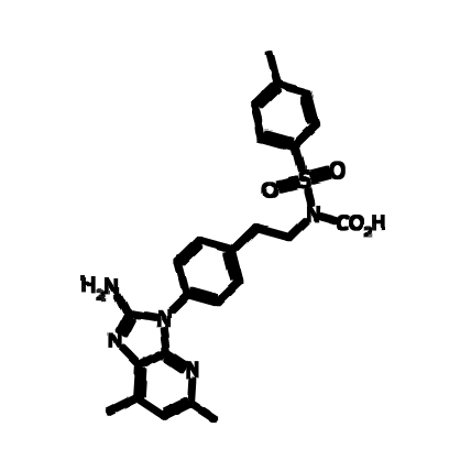 Cc1ccc(S(=O)(=O)N(CCc2ccc(-n3c(N)nc4c(C)cc(C)nc43)cc2)C(=O)O)cc1